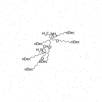 CCCCCCCCCCCCCCCCOCCC(CC(C)N)(OCCCCCCCCCCCCCCCC)C(CCCCCCCCCCCCC)CCOCCC(CCCCCCCCCCCCC)C(CCOCCCCCCCCCCCCCCCC)(CC(C)N)OCCCCCCCCCCCCCCCC